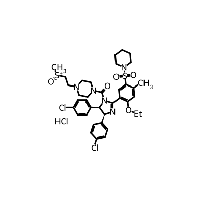 CCOc1cc(C)c(S(=O)(=O)N2CCCCC2)cc1C1=N[C@@H](c2ccc(Cl)cc2)[C@@H](c2ccc(Cl)cc2)N1C(=O)N1CCN(CC[S+](C)[O-])CC1.Cl